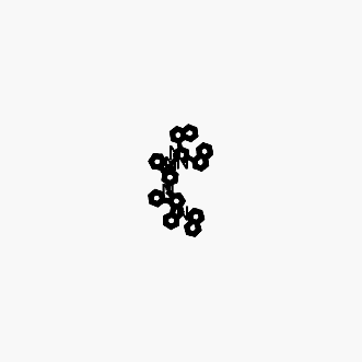 c1ccc2c(-c3cc(-c4cccc5ccccc45)nc(-n4c5ccccc5c5cc(-n6c7ccccc7c7c8c9ccccc9n(-c9cccc%10ccccc9%10)c8ccc76)ccc54)n3)cccc2c1